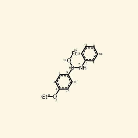 C[CH]Oc1ccc(B(Nc2ccccc2)OCC)cc1